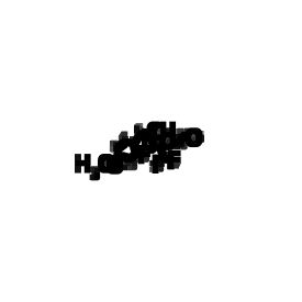 COc1ccc(CN(C)C(F)C(OCC=O)C(F)F)cc1